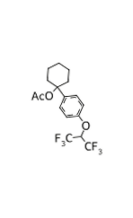 CC(=O)OC1(c2ccc(OC(C(F)(F)F)C(F)(F)F)cc2)CCCCC1